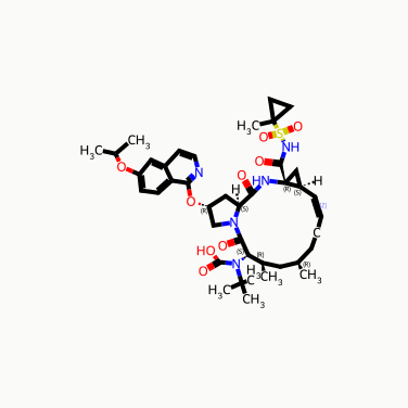 CC(C)Oc1ccc2c(O[C@@H]3C[C@H]4C(=O)N[C@]5(C(=O)NS(=O)(=O)C6(C)CC6)C[C@H]5/C=C\CC[C@@H](C)C[C@@H](C)[C@H](N(C(=O)O)C(C)(C)C)C(=O)N4C3)nccc2c1